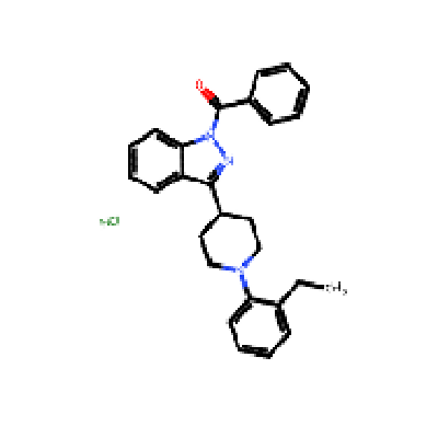 CCc1ccccc1N1CCC(c2nn(C(=O)c3ccccc3)c3ccccc23)CC1.Cl